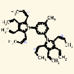 C=Cc1c(C=C)c(/C=C\C)n(-c2cc(C)cc(-n3c(/C=C\C)c(C=C)c(C=C)c3/C=C\C)c2)c1/C=C\C